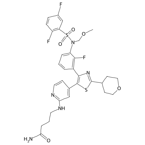 COCN(c1cccc(-c2nc(C3CCOCC3)sc2-c2ccnc(NCCCC(N)=O)c2)c1F)S(=O)(=O)c1cc(F)ccc1F